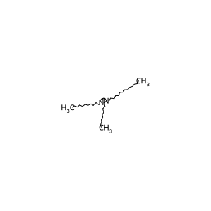 CCCCCCCCCCCCCCN1C=CN(CCCCCCCCCCC)C1CCCCCCCCC